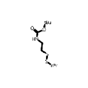 CCCSSCCNC(=O)OC(C)(C)C